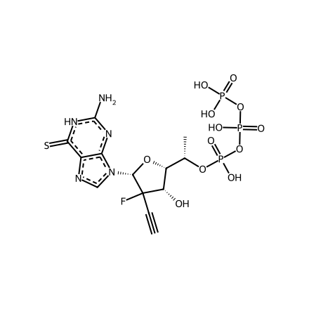 C#CC1(F)[C@@H](O)[C@@H]([C@H](C)OP(=O)(O)OP(=O)(O)OP(=O)(O)O)O[C@H]1n1cnc2c(=S)[nH]c(N)nc21